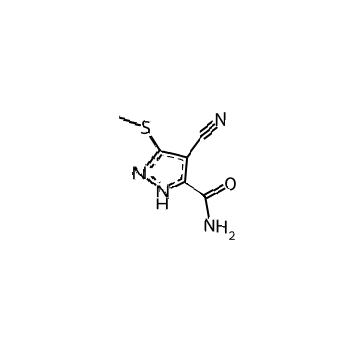 CSc1n[nH]c(C(N)=O)c1C#N